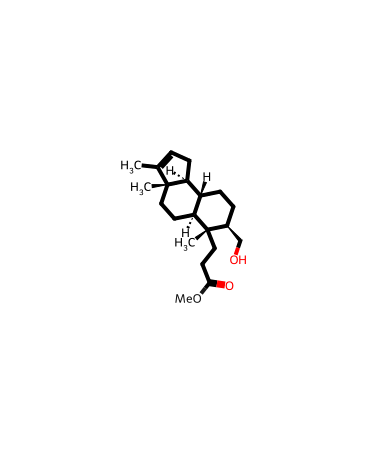 COC(=O)CC[C@@]1(C)[C@H](CO)CC[C@@H]2[C@@H]1CC[C@]1(C)C(C)=CC[C@@H]21